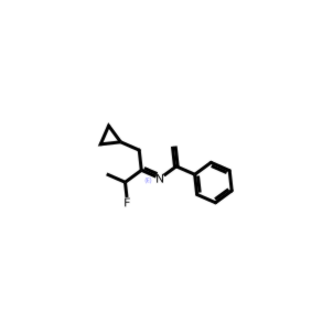 C=C(/N=C(\CC1CC1)C(C)F)c1ccccc1